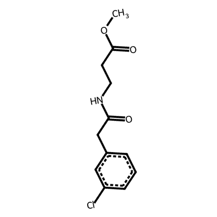 COC(=O)CCNC(=O)Cc1cccc(Cl)c1